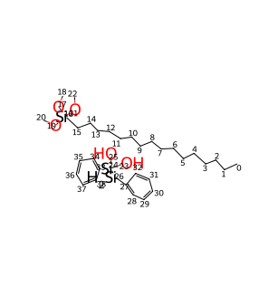 CCCCCCCCCCCCCCCC[Si](OC)(OC)OC.O[Si](O)([SiH2]c1ccccc1)c1ccccc1